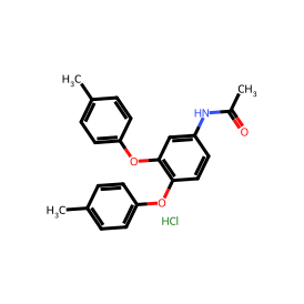 CC(=O)Nc1ccc(Oc2ccc(C)cc2)c(Oc2ccc(C)cc2)c1.Cl